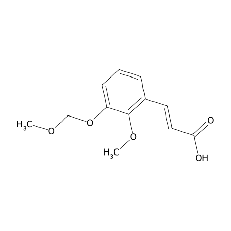 COCOc1cccc(C=CC(=O)O)c1OC